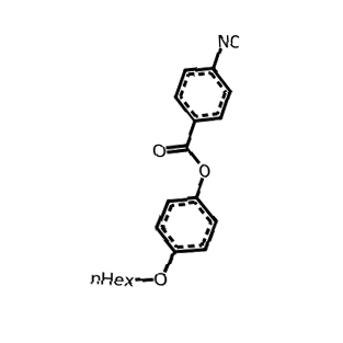 [C-]#[N+]c1ccc(C(=O)Oc2ccc(OCCCCCC)cc2)cc1